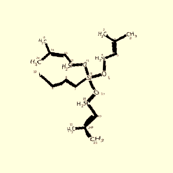 CC(C)=C[SiH2]O[Si](CCCI)(O[SiH2]C=C(C)C)O[SiH2]C=C(C)C